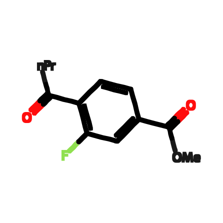 CCCC(=O)c1ccc(C(=O)OC)cc1F